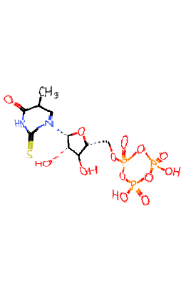 CC1CN([C@@H]2O[C@H](COP3(=O)OP(=O)(O)OP(=O)(O)O3)C(O)[C@@H]2O)C(=S)NC1=O